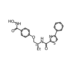 CC[C@@H](COc1ccc(C(=O)NO)cc1)NC(=O)c1nc(-c2ccccc2)cs1